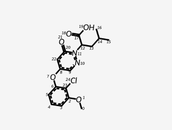 COc1cccc(Oc2cnn(C(CC(C)C)C(=O)O)c(=O)c2)c1Cl